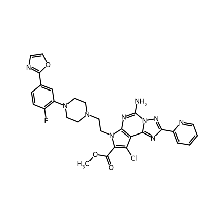 COC(=O)c1c(Cl)c2c(nc(N)n3nc(-c4ccccn4)nc23)n1CCN1CCN(c2cc(-c3ncco3)ccc2F)CC1